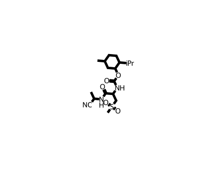 CC1CCC(C(C)C)C(OC(=O)NC(CS(C)(=O)=O)C(=O)NC(C)C#N)C1